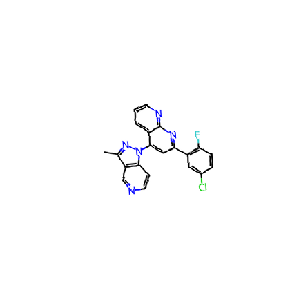 Cc1nn(-c2cc(-c3cc(Cl)ccc3F)nc3ncccc23)c2ccncc12